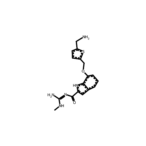 CNC(N)=NC(=O)c1cc2cccc(OCc3ccc(CN)s3)c2[nH]1